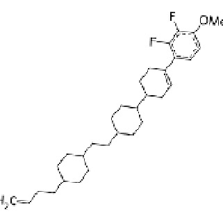 C=CCCC1CCC(CCC2CCC(C3CC=C(c4ccc(OC)c(F)c4F)CC3)CC2)CC1